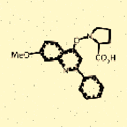 COc1ccc2c(ON3CCCC3C(=O)O)cc(-c3ccccc3)nc2c1